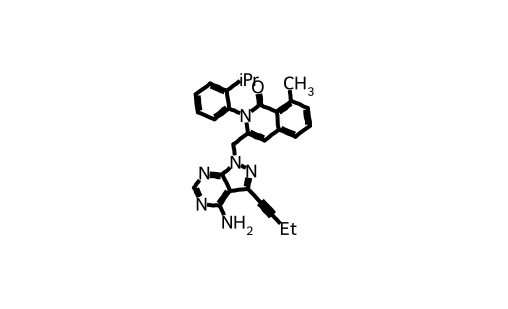 CCC#Cc1nn(Cc2cc3cccc(C)c3c(=O)n2-c2ccccc2C(C)C)c2ncnc(N)c12